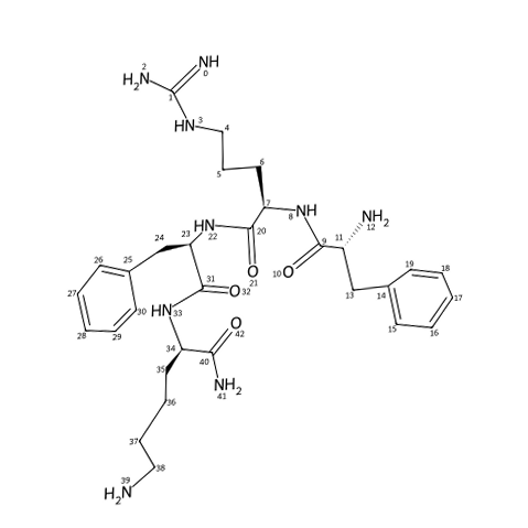 N=C(N)NCCC[C@@H](NC(=O)[C@H](N)Cc1ccccc1)C(=O)N[C@H](Cc1ccccc1)C(=O)N[C@H](CCCCN)C(N)=O